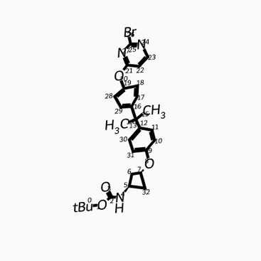 CC(C)(C)OC(=O)N[C@H]1C[C@H](Oc2ccc(C(C)(C)c3ccc(Oc4ccnc(Br)n4)cc3)cc2)C1